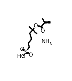 C=C(C)C(=O)OC(C)(C)CCCCS(=O)(=O)O.N